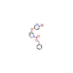 O=C(OCc1ccccc1)N1CC2CC(Oc3ccc(Br)nc3)C1C2